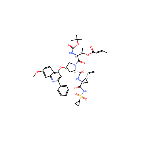 C=C[C@@H]1C[C@]1(NC(=O)[C@@H]1C[C@@H](Oc2cc(-c3ccccc3)nc3cc(OC)ccc23)CN1C(=O)[C@@H](NC(=O)OC(C)(C)C)[C@@H](C)OC(=O)C=CC)C(=O)NS(=O)(=O)C1CC1